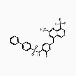 Cc1cc(Cc2ccc(NS(=O)(=O)c3ccc(-c4ccccc4)cc3)c(F)c2)c2cccc(C(F)(F)F)c2n1